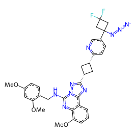 COc1ccc(CNc2nc3c(OC)cccc3c3nc([C@H]4C[C@@H](c5ccc(C6(N=[N+]=[N-])CC(F)(F)C6)cn5)C4)nn23)c(OC)c1